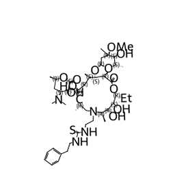 CC[C@H]1OC(=O)[C@H](C)[C@@H](O[C@H]2C[C@@](C)(OC)[C@@H](O)[C@H](C)O2)[C@H](C)[C@@H](O[C@@H]2O[C@H](C)C[C@H](N(C)C)[C@H]2O)[C@](C)(O)C[C@@H](C)CN(CCNC(=S)NCCc2ccccc2)[C@H](C)[C@@H](O)[C@]1(C)O